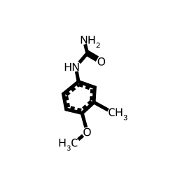 COc1ccc(NC(N)=O)cc1C